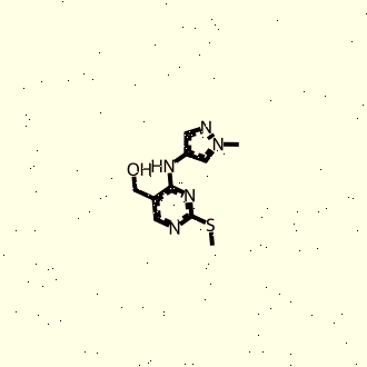 CSc1ncc(CO)c(Nc2cnn(C)c2)n1